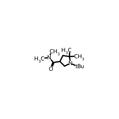 CN(C)C(=O)C1CN(C(C)(C)C)C(C)(C)C1